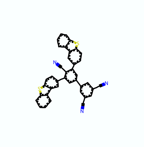 N#Cc1cc(C#N)cc(-c2cc(-c3ccc4sc5ccccc5c4c3)c(C#N)c(-c3ccc4sc5ccccc5c4c3)c2)c1